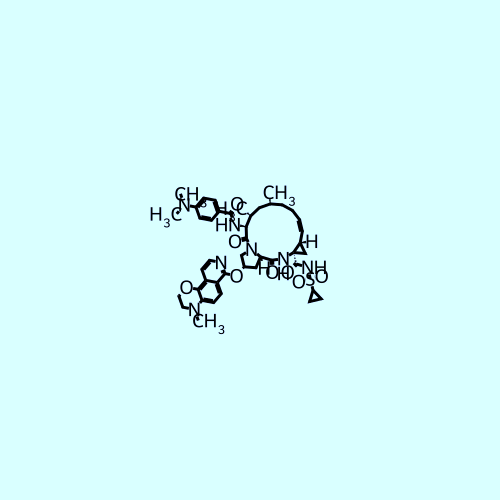 C[C@@H]1CCC=C[C@@H]2C[C@@]2(C(=O)NS(=O)(=O)C2CC2)NC(=O)[C@@H]2C[C@@H](Oc3nccc4c5c(ccc34)N(C)CCO5)CN2C(=O)[C@@H](NC(=O)c2ccc(N(C)C)cc2)[C@H](C)C1